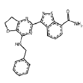 NC(=O)c1cccc2c(-c3nc4c(c(NCc5ccccc5)n3)OCC4)nsc12